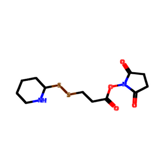 O=C(CCSSC1CCCCN1)ON1C(=O)CCC1=O